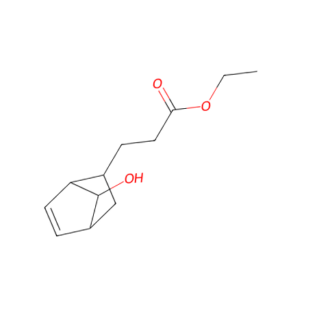 CCOC(=O)CCC1CC2C=CC1C2O